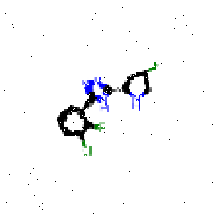 Fc1c(Cl)cccc1-c1nnc([C@@H]2C[C@@H](F)CN2)[nH]1